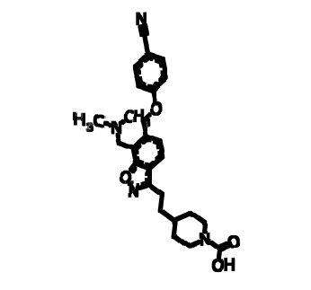 CN(C)Cc1c(COc2ccc(C#N)cc2)ccc2c(CCC3CCN(C(=O)O)CC3)noc12